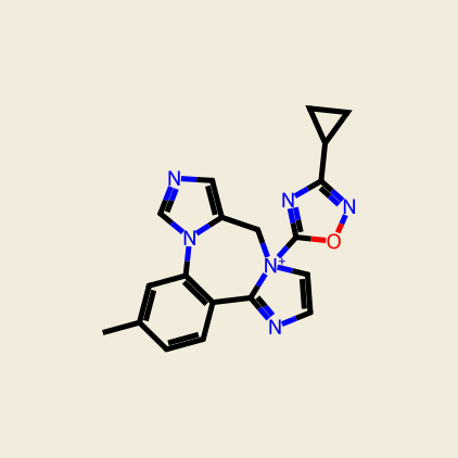 Cc1ccc2c(c1)-n1cncc1C[N+]1(c3nc(C4CC4)no3)C=CN=C21